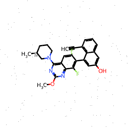 C#Cc1cccc2cc(O)cc(-c3c(F)cc4c(N5CCC[C@H](C)C5)nc(OC)nc4c3F)c12